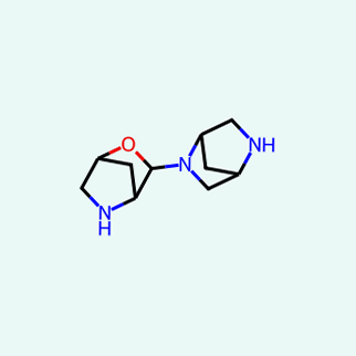 C1NC2CC1OC2N1CC2CC1CN2